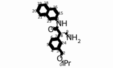 CC(C)OCc1cccc([C@@H](CN)C(=O)Nc2ccc3ccccc3c2)c1